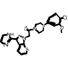 COc1cc(N2CCN(C(=O)Cn3nc(-c4ncc[nH]4)c4cccnc43)CC2)ccc1Cl